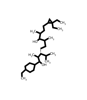 CCC1CCC(C(O)C(C)[C@H](CCC(C)C(O)C(C)CCC2CC2(CC)CC)C(C)C)CC1